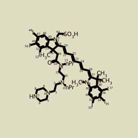 CCCN(CCN1CCNCC1)CCN(CCC)C(=O)CC1(C)C(/C=C/C=C/C=C/C=C2\N(C)c3cc(I)c(I)c(I)c3C2(C)C)=[N+](CS(=O)(=O)O)c2cc(I)c(I)c(I)c21